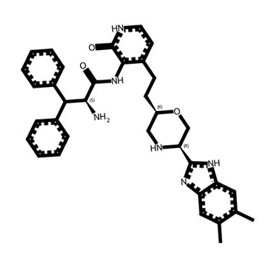 Cc1cc2nc([C@@H]3CO[C@H](CCc4cc[nH]c(=O)c4NC(=O)[C@@H](N)C(c4ccccc4)c4ccccc4)CN3)[nH]c2cc1C